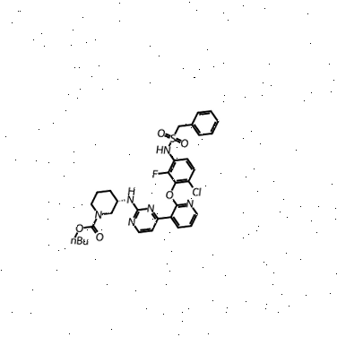 CCCCOC(=O)N1CCC[C@H](Nc2nccc(-c3cccnc3Oc3c(Cl)ccc(NS(=O)(=O)Cc4ccccc4)c3F)n2)C1